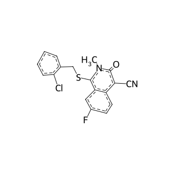 Cn1c(SCc2ccccc2Cl)c2cc(F)ccc2c(C#N)c1=O